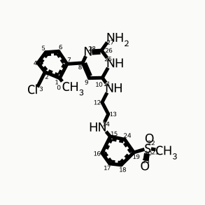 Cc1c(Cl)cccc1C1=CC(NCCNc2cccc(S(C)(=O)=O)c2)NC(N)=N1